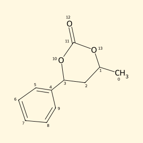 CC1CC(c2ccccc2)OC(=O)O1